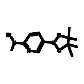 CCN(C)c1ccc(B2OC(C)(C)C(C)(C)O2)cn1